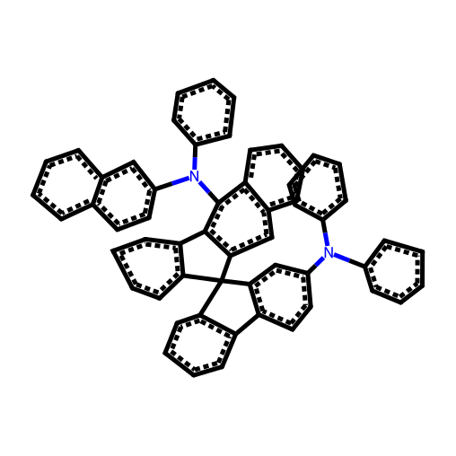 c1ccc(N(c2ccccc2)c2ccc3c(c2)C2(c4ccccc4-3)c3ccccc3-c3c2cc2ccccc2c3N(c2ccccc2)c2ccc3ccccc3c2)cc1